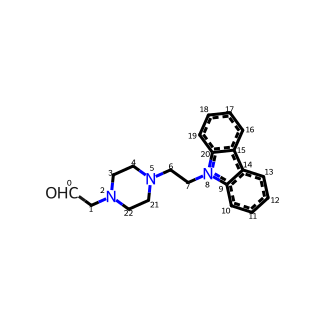 O=CCN1CCN(CCn2c3ccccc3c3ccccc32)CC1